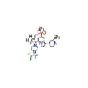 Cc1c(C(=O)OC(C)C)cc2c(-c3ccnc(C(C)C)c3)ccn2c1C(C)N1CCN(C(F)C(F)F)CC1